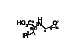 CC(C)C[C@H](NCC1CO1)C(=O)O